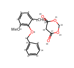 COc1cccc(C=O)c1OCc1ccccc1.O=C1CC(=O)OCO1